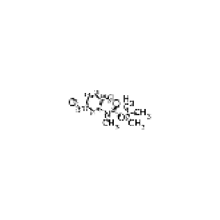 CN(C(=O)OC(C)(C)C)c1cc(C=O)ccc1Cl